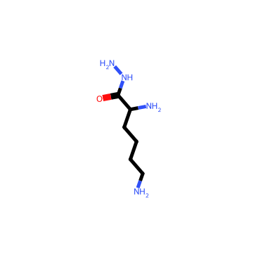 NCCCCC(N)C(=O)NN